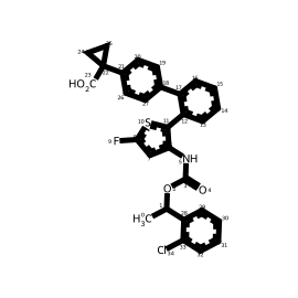 CC(OC(=O)Nc1cc(F)sc1-c1ccccc1-c1ccc(C2(C(=O)O)CC2)cc1)c1ccccc1Cl